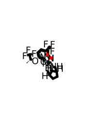 Cc1noc(N2C[C@H]3CC[C@@H](C2)[C@@H]3Nc2nc3c(O[C@H](C)C(F)(F)F)ccc(C(F)(F)F)n3n2)n1